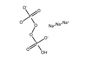 O=P([O-])([O-])OOP(=O)([O-])O.[Na+].[Na+].[Na+]